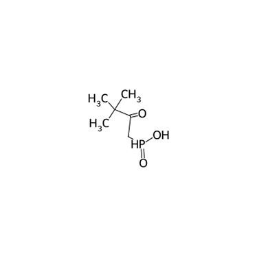 CC(C)(C)C(=O)C[PH](=O)O